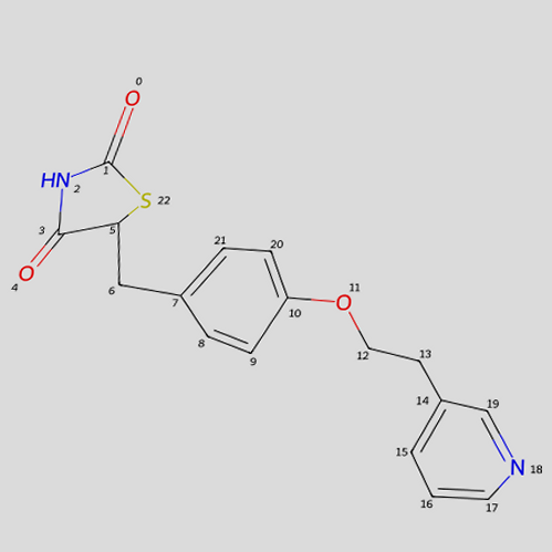 O=C1NC(=O)C(Cc2ccc(OCCc3cccnc3)cc2)S1